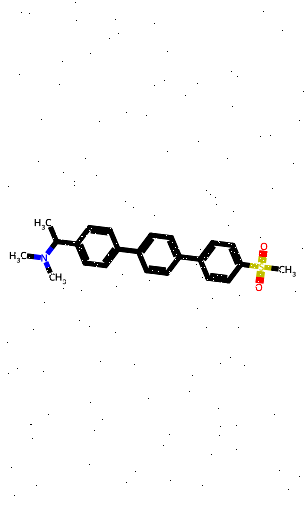 CC(c1ccc(-c2ccc(-c3ccc(S(C)(=O)=O)cc3)cc2)cc1)N(C)C